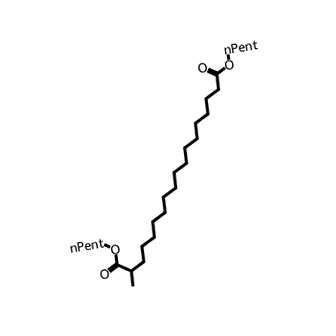 CCCCCOC(=O)CCCCCCCCCCCCCCCC(C)C(=O)OCCCCC